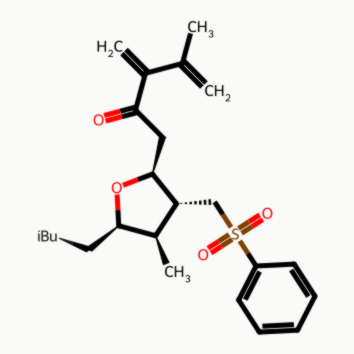 C=C(C)C(=C)C(=O)C[C@@H]1O[C@H](C[C@H](C)CC)[C@H](C)[C@H]1CS(=O)(=O)c1ccccc1